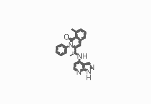 Cc1cccc2cc([C@H](C)Nc3ccnc4[nH]ncc34)n(-c3ccccc3)c(=O)c12